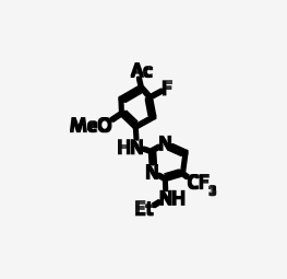 CCNc1nc(Nc2cc(F)c(C(C)=O)cc2OC)ncc1C(F)(F)F